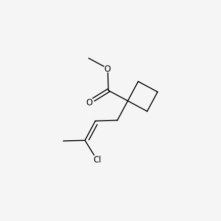 COC(=O)C1(CC=C(C)Cl)CCC1